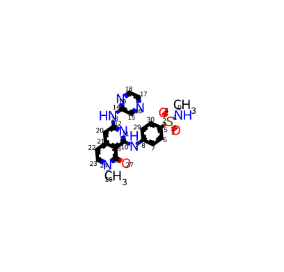 CNS(=O)(=O)c1ccc(Nc2nc(Nc3cnccn3)cc3ccn(C)c(=O)c23)cc1